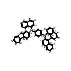 c1ccc2c(N(c3ccc(N4c5ccc6ccccc6c5-c5cccc6cccc4c56)cc3)c3ccc4c(c3)sc3ccccc34)cccc2c1